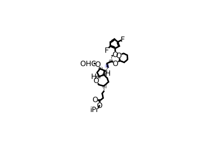 CC(C)OC(=O)CCC[C@H]1CC[C@@H]2[C@@H](/C=C/[C@H](COc3cc(F)ccc3F)OC3CCCCO3)[C@@H](OC=O)C[C@@H]2OC1